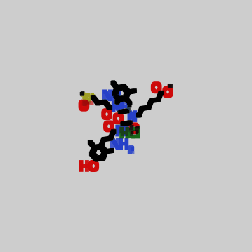 COC(=O)CCCCCN(C(=O)CNC(=O)[C@@H](N)Cc1c(C)cc(O)cc1C)[C@@H](Cc1c(C)cc(C)cc1C)C(=O)NC(=O)C(N)CC[S+](C)[O-].Cl